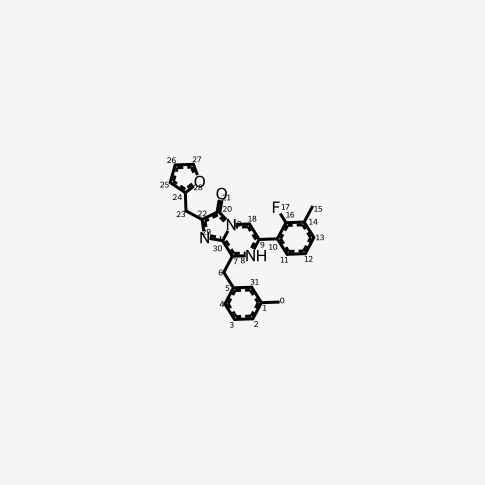 Cc1cccc(Cc2[nH]c(-c3cccc(C)c3F)cn3c(=O)c(Cc4ccco4)nc2-3)c1